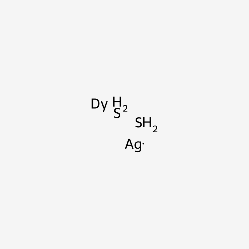 S.S.[Ag].[Dy]